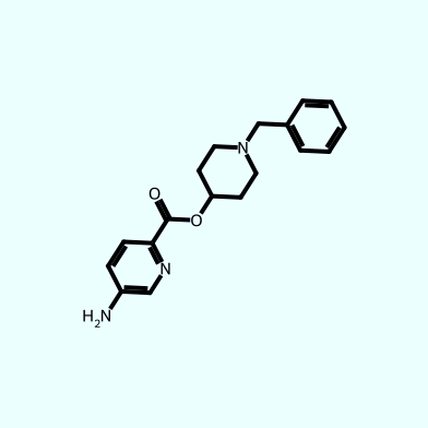 Nc1ccc(C(=O)OC2CCN(Cc3ccccc3)CC2)nc1